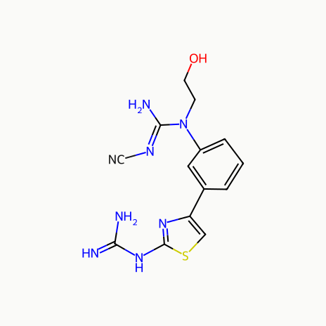 N#CN=C(N)N(CCO)c1cccc(-c2csc(NC(=N)N)n2)c1